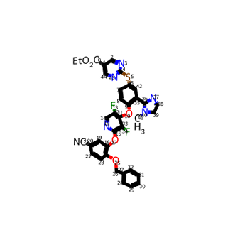 CCOC(=O)c1cnc(Sc2ccc(Oc3c(F)cnc(Oc4cc(C#N)ccc4OCc4ccccc4)c3F)c(C3N=CCN3C)c2)nc1